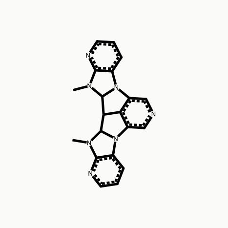 CN1c2ncccc2N2c3cncc4c3C(C12)C1N(C)c2ncccc2N41